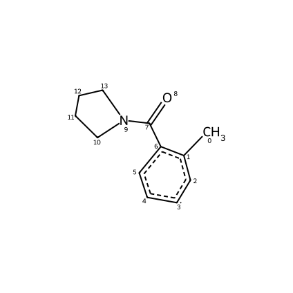 Cc1c[c]ccc1C(=O)N1CCCC1